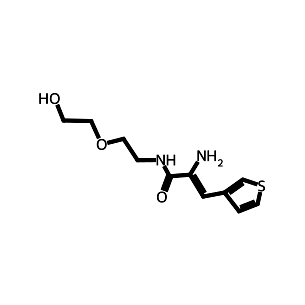 NC(=Cc1ccsc1)C(=O)NCCOCCO